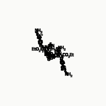 CCOC(=O)[C@H](COc1ccc(-c2cn(CCCN)[n+](C)c2)cc1)O/N=C(\C(=O)N[C@@H]1C(=O)N(OS(=O)(=O)ON2C(=O)[C@@H](NC(=O)/C(=N\O[C@@H](COc3ccc(-c4cn(CCCN)[n+](C)c4)cc3)C(=O)OCC)c3csc(N)n3)C2(C)C)C1(C)C)c1csc(N)n1